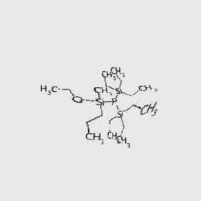 CCC[Si](C)(OCC)P([Si](CC)(CC)CC)[Si](CC)(CC)CC